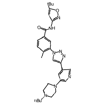 CCCCN1CCN(c2cncc(-c3cn(-c4cc(C(=O)Nc5cc(C(C)(C)C)on5)ccc4C)nn3)c2)CC1